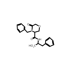 O=C(O)C(Cc1ccccc1)NC(=O)C1COCC(=O)N1Cc1ccccc1